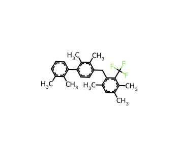 Cc1cccc(-c2ccc(Cc3c(C)cc(C)c(C)c3C(F)(F)F)c(C)c2C)c1C